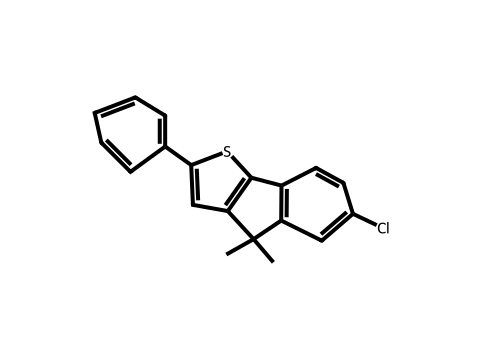 CC1(C)c2cc(Cl)ccc2-c2sc(-c3ccccc3)cc21